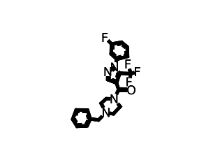 O=C(c1cnn(-c2cccc(F)c2)c1C(F)(F)F)N1CCN(Cc2ccccc2)CC1